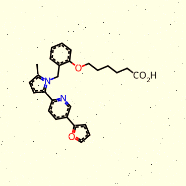 Cc1ccc(-c2ccc(-c3ccco3)cn2)n1Cc1ccccc1OCCCCCC(=O)O